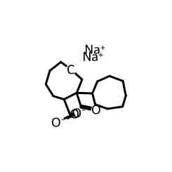 O=C([O-])C1CCCCCCC1(C(=O)[O-])C1CCCCCCC1.[Na+].[Na+]